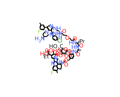 CC[C@@]1(O)C(=O)OCc2c1cc1n(c2=O)Cc2c-1nc1cc(F)c(C)c3c1c2[C@@H](NC(=O)OCc1ccc(NC(=O)[C@H](C)NC(=O)[C@@H](NC(=O)CCOCCC(=O)NCCNc2ncc(-c4cc(C)cc(F)c4)c(N4CCC(N)CC4)c2-c2nc4ccc(Cl)cc4[nH]2)C(C)C)c(O[C@@H]2O[C@H](C(=O)O)[C@@H](O)[C@H](O)[C@H]2O)c1)CC3